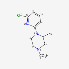 CC1CN(C(=O)O)CCN1c1cccc(Cl)n1